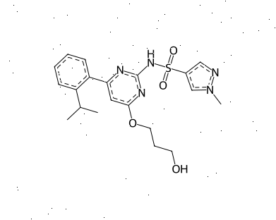 CC(C)c1ccccc1-c1cc(OCCCO)nc(NS(=O)(=O)c2cnn(C)c2)n1